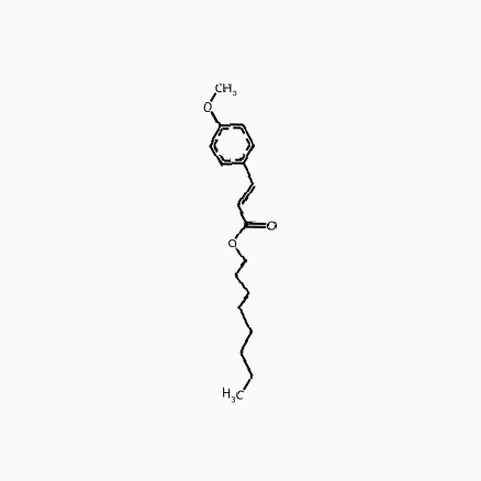 CCCCCCCCOC(=O)C=Cc1ccc(OC)cc1